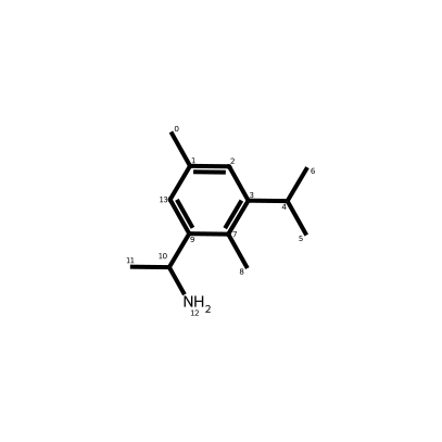 Cc1cc(C(C)C)c(C)c(C(C)N)c1